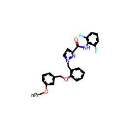 CCCOc1cccc(COc2ccccc2Cn2ccc(C(=O)Nc3c(F)cccc3F)n2)c1